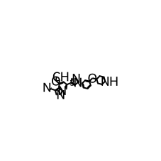 COc1cc(-c2cnn(-c3cccc(OC4CCNCC4)c3)c2)cn2ncc(C#N)c12